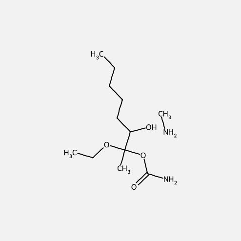 CCCCCC(O)C(C)(OCC)OC(N)=O.CN